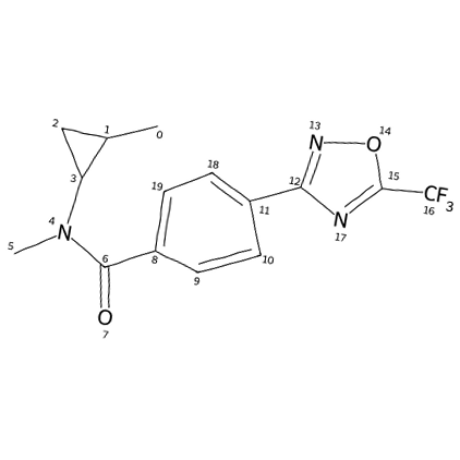 CC1CC1N(C)C(=O)c1ccc(-c2noc(C(F)(F)F)n2)cc1